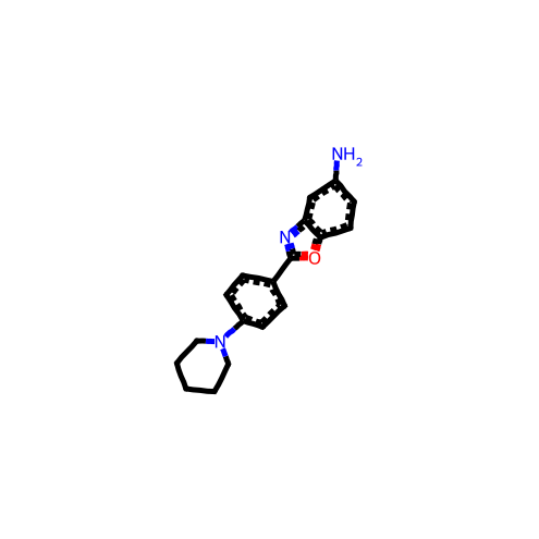 Nc1ccc2oc(-c3ccc(N4CCCCC4)cc3)nc2c1